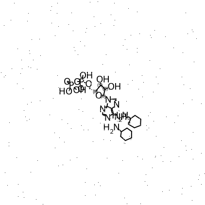 NC1CCCCC1.NC1CCCCC1.Nc1ncnc2c1ncn2[C@@H]1O[C@H](COP(=O)(O)OP(=O)(O)O)[C@@H](O)[C@H]1O